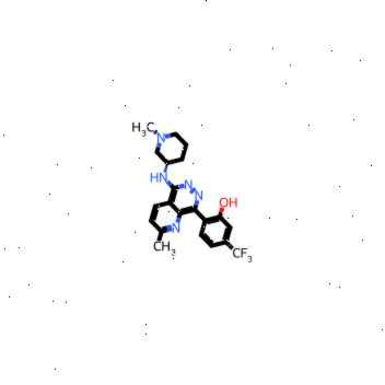 Cc1ccc2c(N[C@@H]3CCCN(C)C3)nnc(-c3ccc(C(F)(F)F)cc3O)c2n1